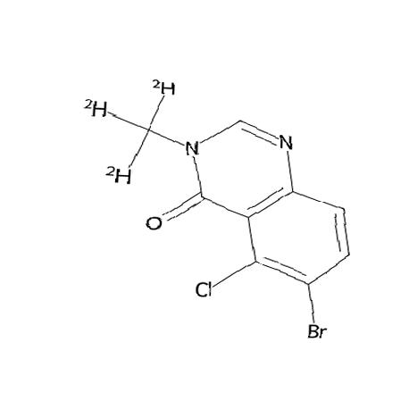 [2H]C([2H])([2H])n1cnc2ccc(Br)c(Cl)c2c1=O